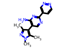 Cc1nn(C)c(C)c1-c1cnc(-c2ccnnc2)nc1N